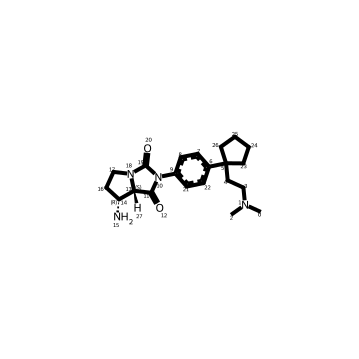 CN(C)CCC1(c2ccc(N3C(=O)[C@@H]4[C@H](N)CCN4C3=O)cc2)CCCC1